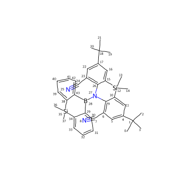 CC(C)(C)c1cc(C#N)c2c(c1)[Si](C)(C)c1cc(C(C)(C)C)cc(C#N)c1N2B1c2ccccc2[Si](C)(C)c2ccccc21